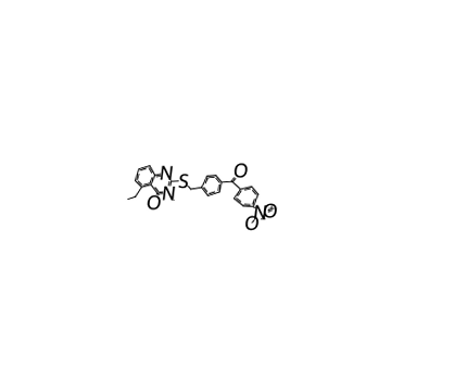 CCc1cccc2nc(SCc3ccc(C(=O)c4ccc([N+](=O)[O-])cc4)cc3)n(C)c(=O)c12